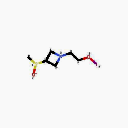 C[S+]([O-])C1CN(CCOI)C1